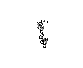 CC(C)(C)OC(=O)n1ccc2c(Cn3ccc4c(NC(=O)Nc5ccccc5)cccc43)ccnc21